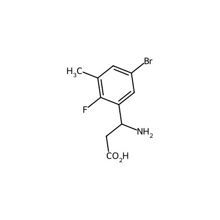 Cc1cc(Br)cc(C(N)CC(=O)O)c1F